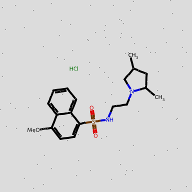 COc1ccc(S(=O)(=O)NCCN2CC(C)CC2C)c2ccccc12.Cl